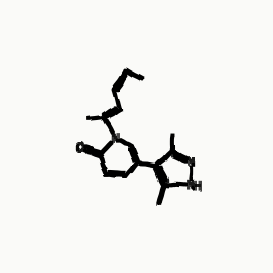 C/C=C\C=C(/C)n1cc(-c2c(C)n[nH]c2C)ccc1=O